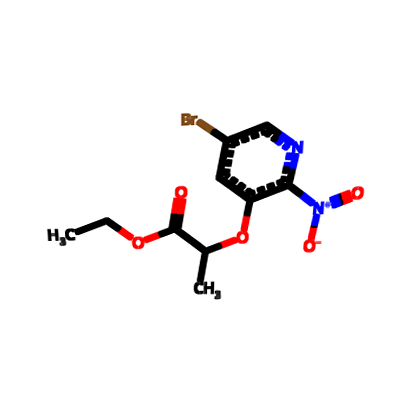 CCOC(=O)C(C)Oc1cc(Br)cnc1[N+](=O)[O-]